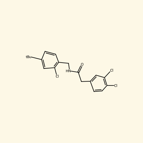 CC(C)(C)c1ccc(CNC(=O)Cc2ccc(Cl)c(Cl)c2)c(Cl)c1